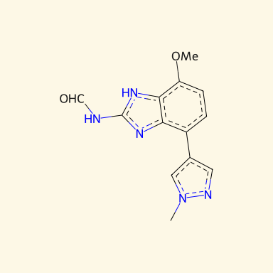 COc1ccc(-c2cnn(C)c2)c2nc(NC=O)[nH]c12